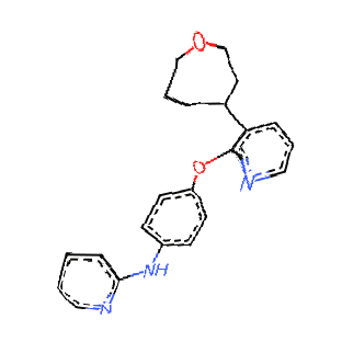 c1ccc(Nc2ccc(Oc3ncccc3C3CCCOCC3)cc2)nc1